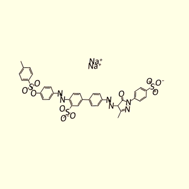 CC1=NN(c2ccc(S(=O)(=O)[O-])cc2)C(=O)C1N=Nc1ccc(-c2ccc(N=Nc3ccc(OS(=O)(=O)c4ccc(C)cc4)cc3)c(S(=O)(=O)[O-])c2)cc1.[Na+].[Na+]